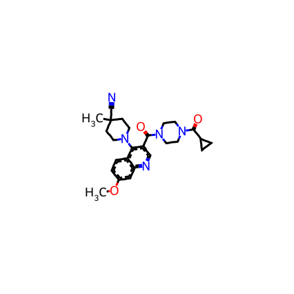 COc1ccc2c(N3CCC(C)(C#N)CC3)c(C(=O)N3CCN(C(=O)C4CC4)CC3)cnc2c1